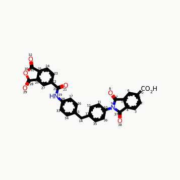 O=C(O)c1ccc2c(c1)C(=O)N(c1ccc(Cc3ccc(NC(=O)c4ccc5c(c4)C(=O)OC5=O)cc3)cc1)C2=O